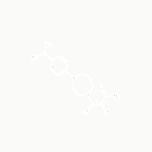 C/C(=C(\C#N)C(N)=S)N1CCCN(c2ccc(N(C)C)cc2)CC1